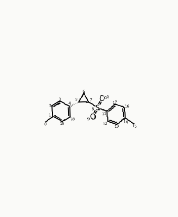 Cc1ccc([C@@H]2CC2S(=O)(=O)c2ccc(C)cc2)cc1